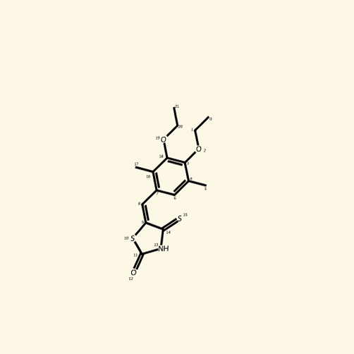 CCOc1c(C)cc(C=C2SC(=O)NC2=S)c(C)c1OCC